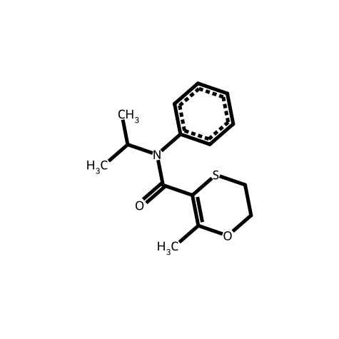 CC1=C(C(=O)N(c2ccccc2)C(C)C)SCCO1